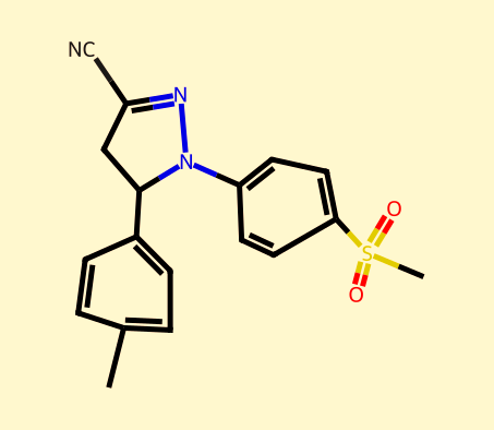 Cc1ccc(C2CC(C#N)=NN2c2ccc(S(C)(=O)=O)cc2)cc1